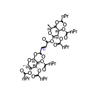 CCCC(=O)O[C@H]1[C@H](OC(=O)CCC)[C@H](OC(=O)/C=C/C(=O)O[C@@H]2O[C@@H](C)[C@@H](OC(=O)CCC)[C@@H](OC(=O)CCC)[C@@H]2OC(=O)CCC)O[C@@H](C)[C@H]1OC(=O)CCC